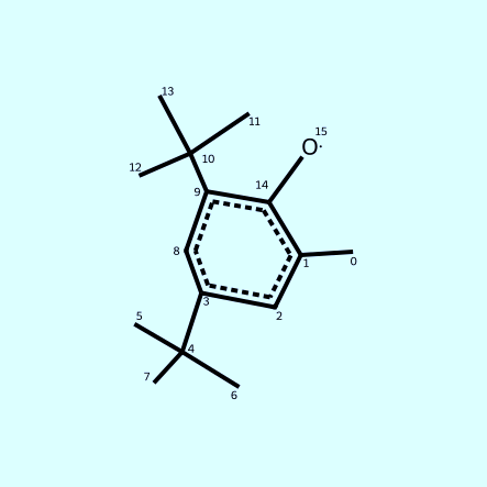 Cc1cc(C(C)(C)C)cc(C(C)(C)C)c1[O]